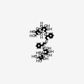 OC[C@H]1O[C@@](CO)(O[C@H]2O[C@H](COC(CC=C=CCC(OC[C@H]3O[C@H](O[C@]4(CO)O[C@H](CO)[C@@H](O)[C@@H]4O)[C@H](O)[C@@H](O)[C@@H]3O)c3ccccc3)c3ccccc3)[C@@H](O)[C@H](O)[C@H]2O)[C@@H](O)[C@@H]1O